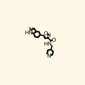 O=C(NCc1ccncc1)c1cc(-c2ccc3[nH]ncc3c2)on1